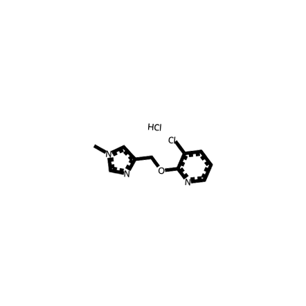 Cl.Cn1cnc(COc2ncccc2Cl)c1